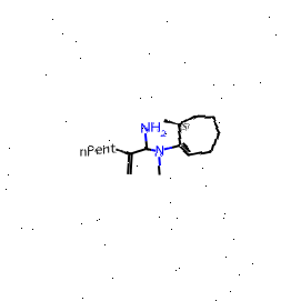 C=C(CCCCC)C(N)N(C)C1=CCCCC[C@@H]1C